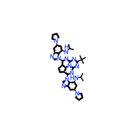 CC(C)Nc1cc(-n2cccc2)cc2ncn(-c3nc4nc(C(C)(C)C)nc5nc(-n6cnc7cc(-n8cccc8)cc(NC(C)C)c76)c6ccc3c6n45)c12